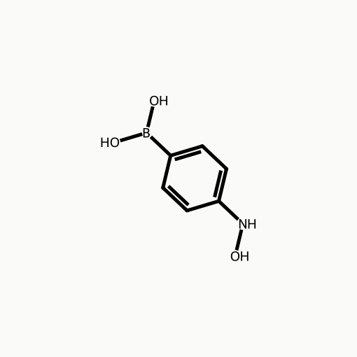 ONc1ccc(B(O)O)cc1